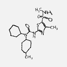 CNS(=O)(=O)c1sc(NC(=O)N(C2CCCCC2)C2CCC(C)CC2)nc1C